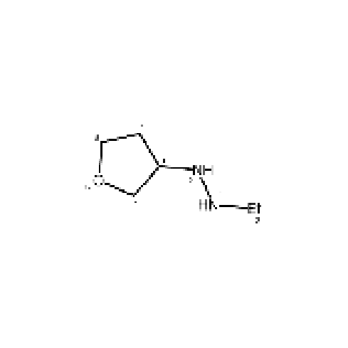 CCNNC1CCOC1